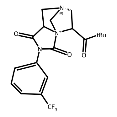 CC(C)(C)C(=O)C1C[N@@]2CC3C(=O)N(c4cccc(C(F)(F)F)c4)C(=O)[N+]31C2